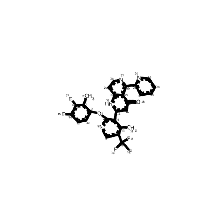 Cc1c(Oc2ncc(C(F)(F)F)c(C)c2-c2cc(=O)c3c(-c4ccccn4)nccc3[nH]2)ccc(F)c1F